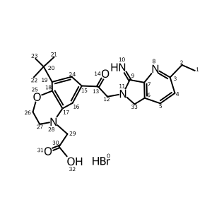 Br.CCc1ccc2c(n1)C(=N)N(CC(=O)c1cc3c(c(C(C)(C)C)c1)OCCN3CC(=O)O)C2